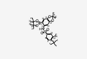 CC(C)(C)c1ccc(S(=O)(=O)Nc2cc3c(cc2B2OC(C)(C)C(C)(C)O2)OC(F)(F)O3)cc1F